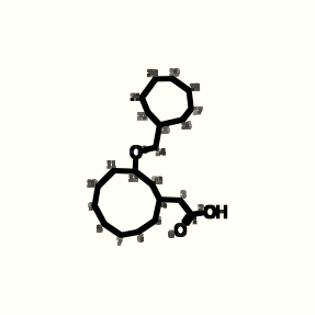 O=C(O)CC1CCCCCCCC(OCC2CCCCCCC2)C1